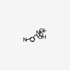 CC(C)(C)OC(=O)/N=C(\CO)Cc1cccc(C#N)c1